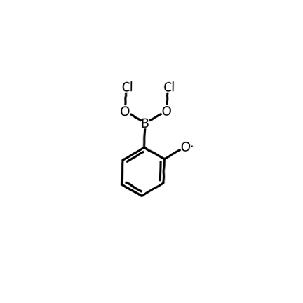 [O]c1ccccc1B(OCl)OCl